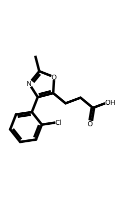 Cc1nc(-c2ccccc2Cl)c(CCC(=O)O)o1